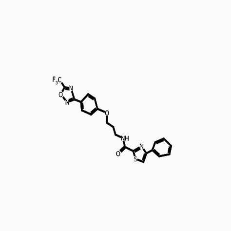 O=C(NCCCOc1ccc(-c2noc(C(F)(F)F)n2)cc1)c1nc(-c2ccccc2)cs1